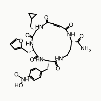 NC(=O)[C@@H]1CCNC(=O)[C@H](Cc2ccc([NH+]([O-])O)cc2)NC(=O)[C@H](Cc2ccco2)NC(=O)[C@H](CC2CC2)NC(=O)/C=C\C(=O)N1